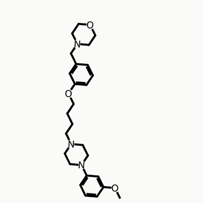 COc1cccc(N2CCN(CCCCOc3cccc(CN4CCOCC4)c3)CC2)c1